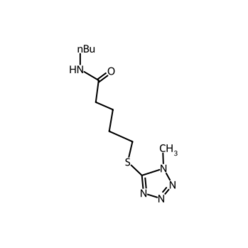 CCCCNC(=O)CCCCSc1nnnn1C